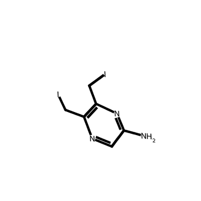 Nc1cnc(CI)c(CI)n1